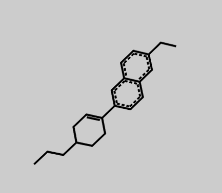 CCCC1CC=C(c2ccc3cc(CC)ccc3c2)CC1